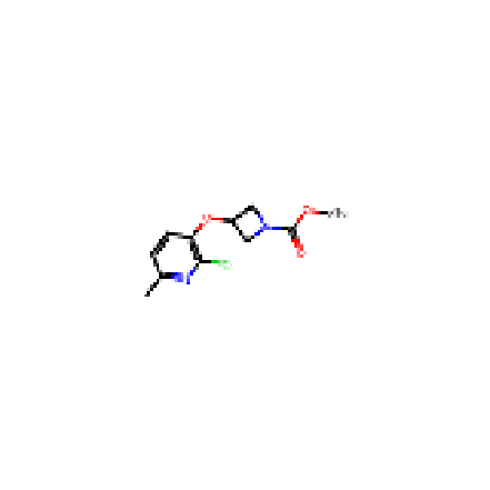 CCCCOC(=O)N1CC(Oc2ccc(C)nc2Cl)C1